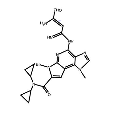 CCn1c(C(=O)N(C2CC2)C2CC2)cc2c3c(ncn3C)c(NC(=N)/C=C(\N)C=O)nc21